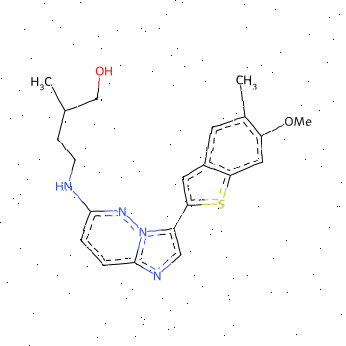 COc1cc2sc(-c3cnc4ccc(NCCC(C)CO)nn34)cc2cc1C